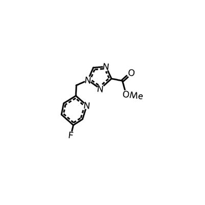 COC(=O)c1ncn(Cc2ccc(F)cn2)n1